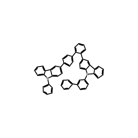 c1ccc(-c2cccc(-n3c4ccccc4c4cc(-c5ccccc5-c5ccc(-c6ccc7c(c6)c6ccccc6n7-c6ccccc6)cc5)ccc43)c2)cc1